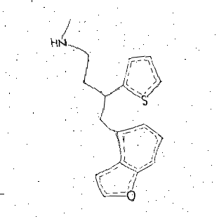 CNCCC(Cc1cccc2occc12)c1cccs1